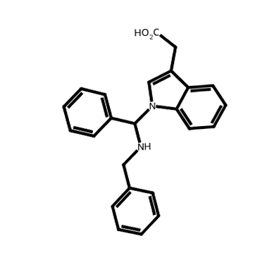 O=C(O)Cc1cn(C(NCc2ccccc2)c2ccccc2)c2ccccc12